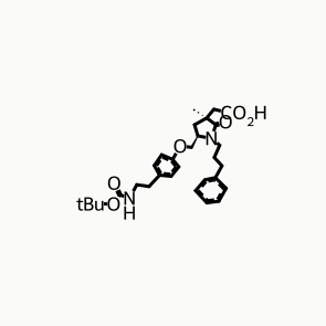 CC(C)(C)OC(=O)NCCc1ccc(OC[C@H]2C[C@@](C)(CC(=O)O)C(=O)N2CCCc2ccccc2)cc1